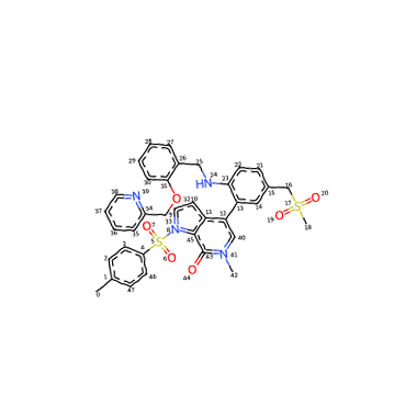 Cc1ccc(S(=O)(=O)n2ccc3c(-c4cc(CS(C)(=O)=O)ccc4NCc4ccccc4OCc4ccccn4)cn(C)c(=O)c32)cc1